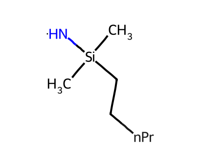 CCCCC[Si](C)(C)[NH]